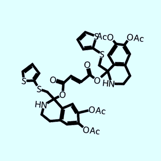 CC(=O)Oc1cc2c(cc1OC(C)=O)C(CSc1cccs1)(OC(=O)/C=C/C(=O)OC1(CSc3cccs3)NCCc3cc(OC(C)=O)c(OC(C)=O)cc31)NCC2